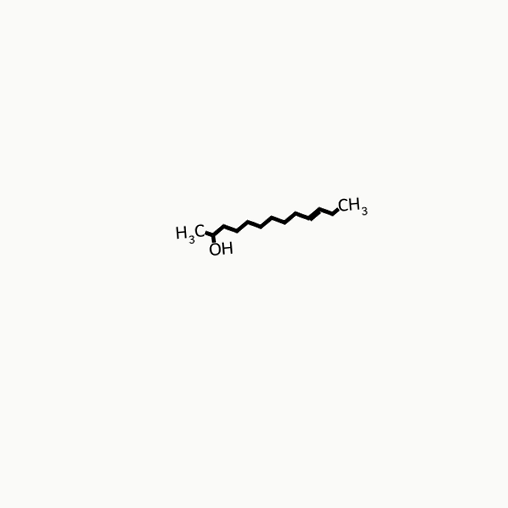 CCC=CCCCCCCCC(C)O